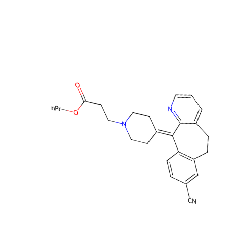 CCCOC(=O)CCN1CCC(=C2c3ccc(C#N)cc3CCc3cccnc32)CC1